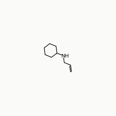 C=CCN[C]1CCCCC1